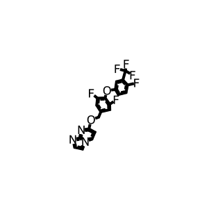 Fc1ccc(Oc2c(F)cc(COc3ccn4ccnc4n3)cc2F)cc1C(F)(F)F